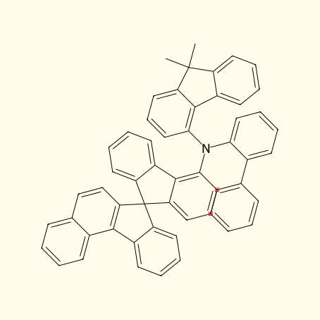 CC1(C)c2ccccc2-c2c(N(c3ccccc3-c3ccccc3)c3cccc4c3-c3ccccc3C43c4ccccc4-c4c3ccc3ccccc43)cccc21